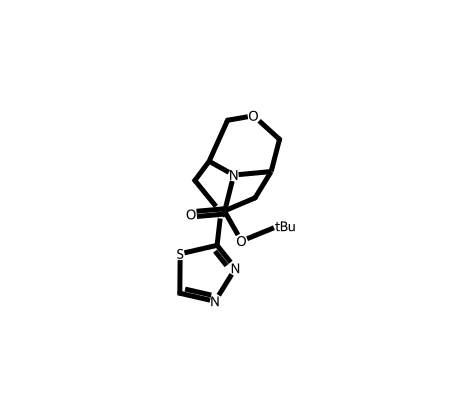 CC(C)(C)OC(=O)N1C2COCC1CN(c1nncs1)C2